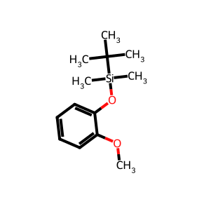 COc1ccccc1O[Si](C)(C)C(C)(C)C